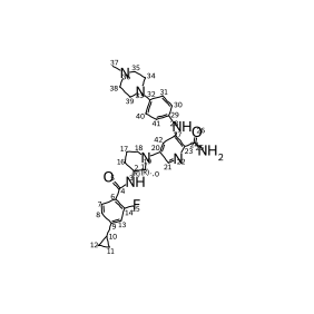 C[C@@H]1[C@H](NC(=O)c2ccc(C3CC3)cc2F)CCCN1c1cnc(C(N)=O)c(Nc2ccc(N3CCN(C)CC3)cc2)c1